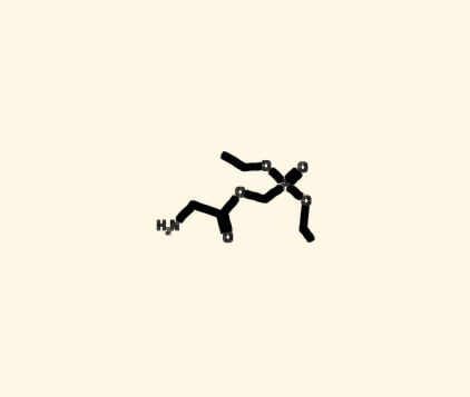 CCOP(=O)(COC(=O)CN)OCC